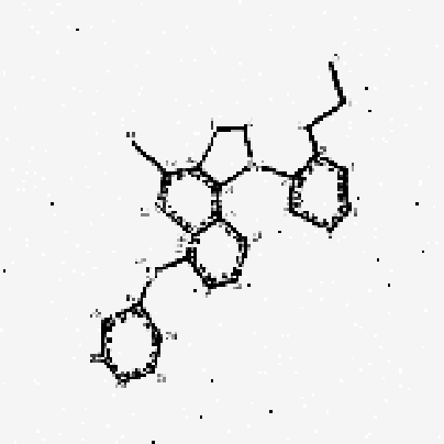 CCCc1ccccc1N1CCc2c(C)nc3c(Oc4ccccc4)cccc3c21